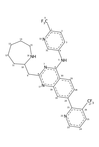 FC(F)(F)c1ccc(Nc2nc(CC3CCCCCN3)nc3cc(-c4ncccc4C(F)(F)F)ccc23)cn1